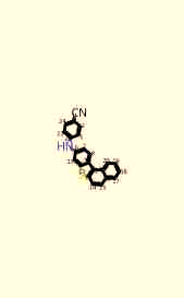 N#Cc1ccc(Nc2ccc3c(c2)sc2ccc4ccccc4c23)cc1